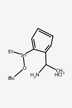 CCC(C)[O][Sn]([CH2]C)[c]1ccccc1C(C)N.Cl